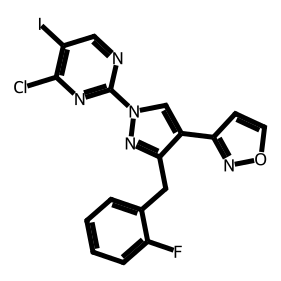 Fc1ccccc1Cc1nn(-c2ncc(I)c(Cl)n2)cc1-c1ccon1